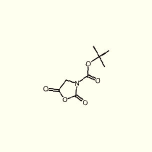 CC(C)(C)OC(=O)N1CC(=O)OC1=O